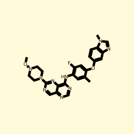 CON1CCN(c2ncc3ncnc(Nc4cc(C)c(Oc5ccc6c(c5)ncn6C)cc4F)c3n2)CC1